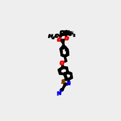 CC1(C)OB(c2ccc(COc3ccc4c(ccc5nc(C#N)sc54)c3)cc2)OC1(C)C